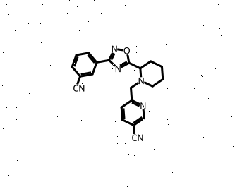 N#Cc1ccc(CN2CCCCC2c2nc(-c3cccc(C#N)c3)no2)nc1